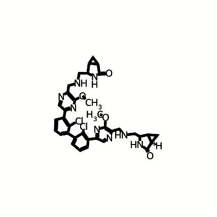 COc1nc(-c2cccc(-c3cccc(-c4cnc(CNCC5NC(=O)[C@@H]6CC56)c(OC)n4)c3Cl)c2Cl)cnc1CNCC1NC(=O)C2CC12